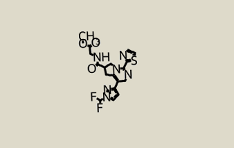 COC(=O)CNC(=O)C1CC2=C(c3ccn(C(F)F)n3)CN=C(c3nccs3)N2C1